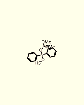 CO[SiH](OC)O[Si](OS)(c1ccccc1)c1ccccc1